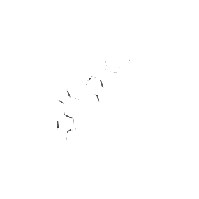 CC(=O)N(C)[C@H]1CCN(c2cnn(Cc3c(-c4ccc(C)nc4)noc3C)c(=O)c2)C1